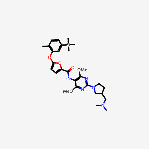 COc1nc(N2CCC(CN(C)C)C2)nc(OC)c1NC(=O)c1ccc(Oc2cc([Si](C)(C)C)ccc2C)o1